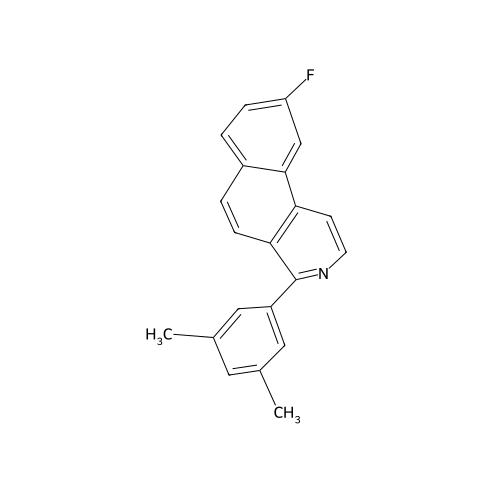 Cc1cc(C)cc(-c2nccc3c2ccc2ccc(F)cc23)c1